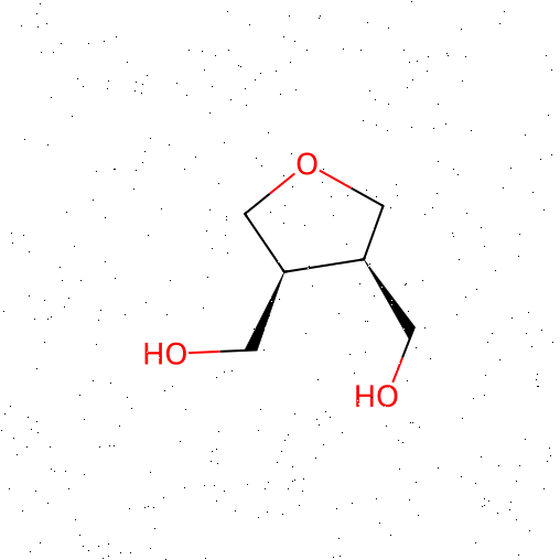 OC[C@@H]1COC[C@@H]1CO